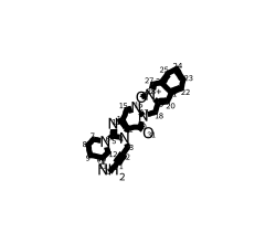 CC#CCn1c(N2CCC[C@@H](N)C2)nc2cnn(Cc3cc4ccccc4c[n+]3[O-])c(=O)c21